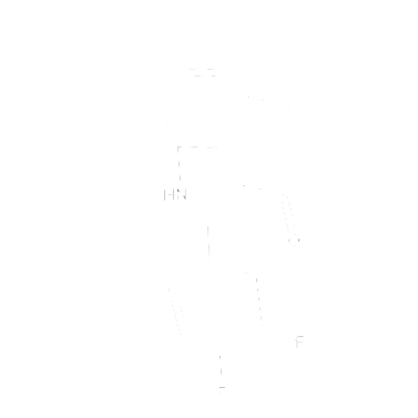 Cc1cc(C)c2c(C=O)c(-c3ccc(F)c(F)c3)[nH]c2c1